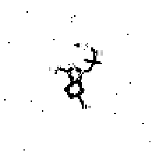 CC(C)(Cn1nc(N)c2ccc(O)cc21)NC(=O)O